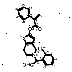 C=C(C(=O)Oc1cc2c(s1)CCN(C(C=O)c1ccccc1Cl)C2)c1ccccc1